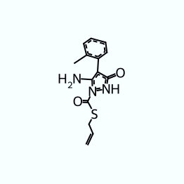 C=CCSC(=O)n1[nH]c(=O)c(-c2ccccc2C)c1N